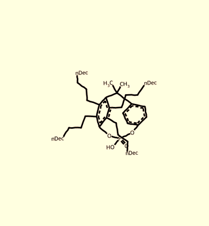 CCCCCCCCCCCCCc1c(CCCCCCCCCCCCC)c2c(CCCCCCCCCCCCC)c(CCCCCCCCCCCCC)c1OP(=O)(O)Oc1ccc(cc1)C2(C)C